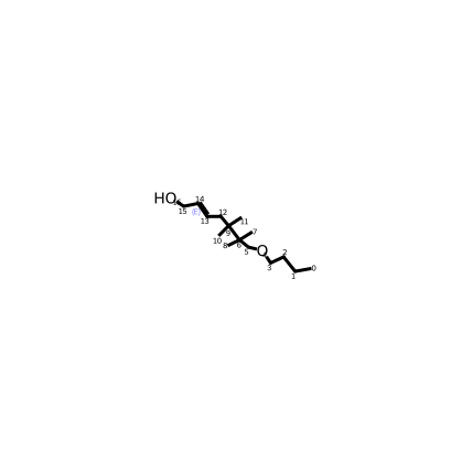 CCCCOCC(C)(C)C(C)(C)C/C=C/CO